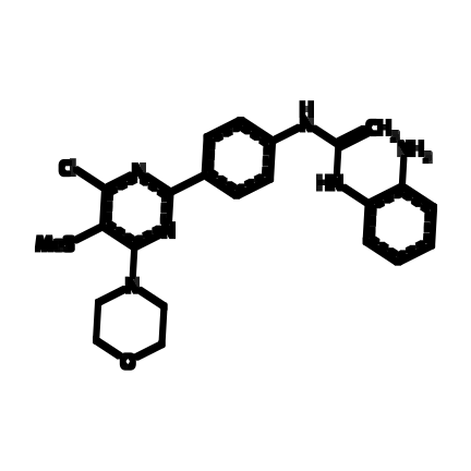 C=C(Nc1ccc(-c2nc(Cl)c(SC)c(N3CCOCC3)n2)cc1)Nc1ccccc1N